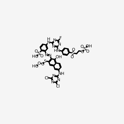 O=S(=O)(O)OCCS(=O)(=O)c1ccc(Nc2nc(F)nc(Nc3ccc(S(=O)(=O)O)c(/N=N/c4c(SOOO)cc5cc(Nc6nc(Cl)nc(Cl)n6)ccc5c4O)c3)n2)cc1